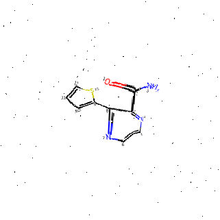 NC(=O)c1nccnc1-c1cccs1